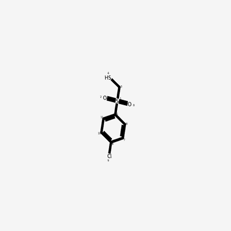 O=S(=O)(CS)c1ccc(Cl)cc1